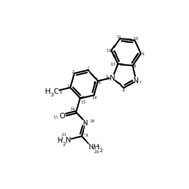 Cc1ccc(-n2cnc3ccccc32)cc1C(=O)N=C(N)N